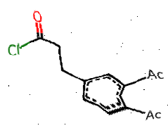 CC(=O)c1ccc(CCC(=O)Cl)cc1C(C)=O